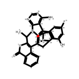 CC(c1oc(=O)c2ccccc2c1C1=CC2CCC(C1)N2C)n1nc(-c2cc(O)cc(F)c2)c2c(N)ncnc21